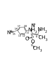 CCOC(=O)/C(=C(\C)N)N(N)c1ccc(C#N)cc1